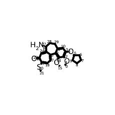 COc1c(OC2CCCC2)cc2c(c1OC)-c1ccc(SC)c(=O)cc1[C@@H](N)CC2